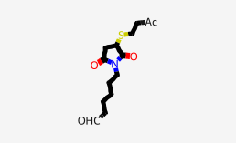 CC(=O)CCSC1CC(=O)N(CCCCCC=O)C1=O